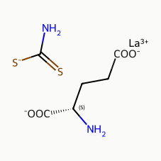 NC(=S)[S-].N[C@@H](CCC(=O)[O-])C(=O)[O-].[La+3]